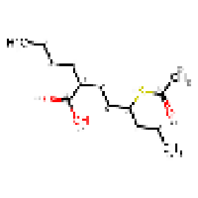 CCCCC(CCC(CCC)SC(C)=O)C(=O)O